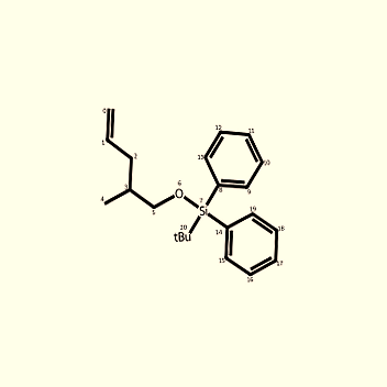 C=CCC(C)CO[Si](c1ccccc1)(c1ccccc1)C(C)(C)C